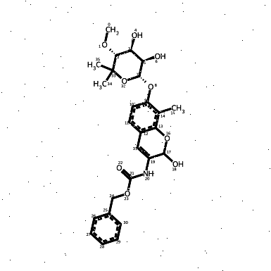 CO[C@@H]1[C@@H](O)[C@@H](O)[C@H](Oc2ccc3c(c2C)OC(O)C(NC(=O)OCc2ccccc2)=C3)OC1(C)C